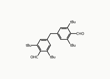 CC(C)(C)c1cc(Cc2cc(C(C)(C)C)c(C=O)c(C(C)(C)C)c2)cc(C(C)(C)C)c1C=O